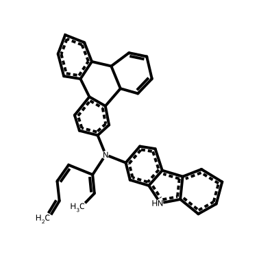 C=C/C=C\C(=C/C)N(c1ccc2c(c1)C1C=CC=CC1c1ccccc1-2)c1ccc2c(c1)[nH]c1ccccc12